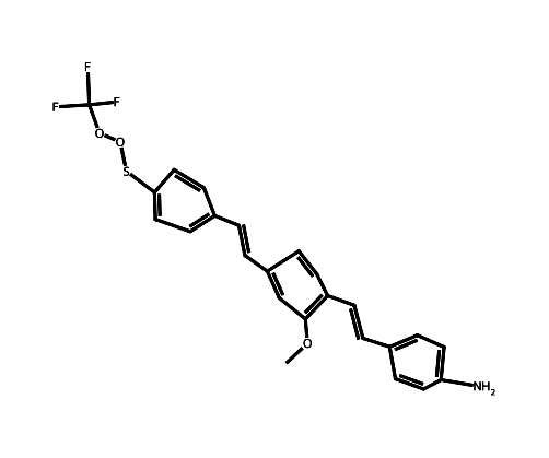 COc1cc(C=Cc2ccc(SOOC(F)(F)F)cc2)ccc1C=Cc1ccc(N)cc1